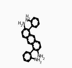 Nc1ccccc1-c1c(N)ccc2cc3c(-c4ccccc4N)c(N)ccc3cc12